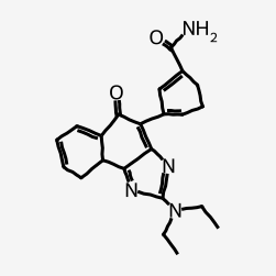 CCN(CC)C1=NC2=C(C3=CCCC(C(N)=O)=C3)C(=O)C3=CC=CCC3C2=N1